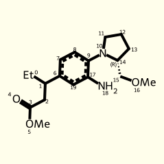 CCC(CC(=O)OC)c1ccc(N2CCC[C@@H]2COC)c(N)c1